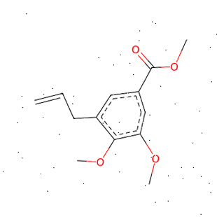 C=CCc1cc(C(=O)OC)cc(OC)c1OC